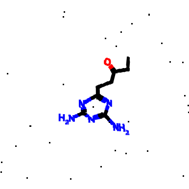 CCC(=O)CCc1nc(N)nc(N)n1